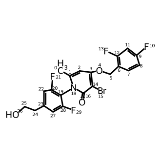 Cc1cc(OCc2ccc(F)cc2F)c(Br)c(=O)n1-c1c(F)cc(CCO)cc1F